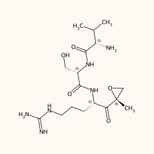 CC(C)[C@H](N)C(=O)N[C@@H](CO)C(=O)N[C@@H](CCCNC(=N)N)C(=O)[C@@]1(C)CO1